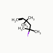 C=CC(C)(C)CC(C)(C)I